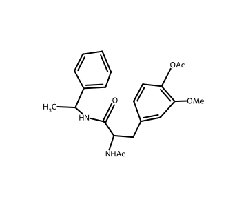 COc1cc(CC(NC(C)=O)C(=O)NC(C)c2ccccc2)ccc1OC(C)=O